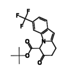 CC(C)(C)OC(=O)C1C(=O)CCc2cc3ccc(C(F)(F)F)cc3n21